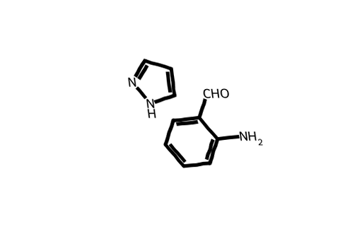 Nc1ccccc1C=O.c1cn[nH]c1